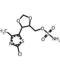 Cc1nc(Cl)sc1C1OCOC1COS(N)(=O)=O